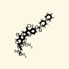 CCc1c2c(nc3ccc(OC(=O)N4CCC(N5CCCCC5)CC4)cc13)-c1cc3c(c(=O)n1C2)COC(=O)[C@@]3(CC)OC(=O)CNC